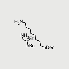 CCCCC(CC)CN.CCCCCCCCCCCCCCCCCCN